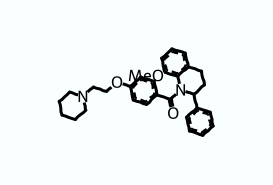 COc1cccc2c1N(C(=O)c1ccc(OCCN3CCCCC3)cc1)C(c1ccccc1)CC2